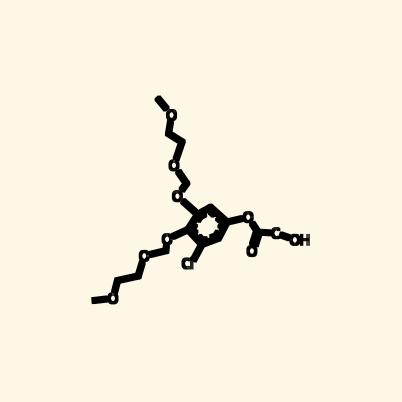 COCCOCOc1cc(OC(=O)CO)cc(Cl)c1OCOCCOC